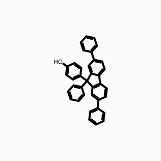 Oc1ccc(C2(c3ccccc3)c3cc(-c4ccccc4)ccc3-c3ccc(-c4ccccc4)cc32)cc1